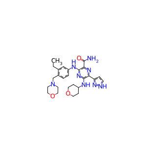 CCc1cc(Nc2nc(NC3CCOCC3)c(-c3cc[nH]n3)nc2C(N)=O)ccc1CN1CCOCC1